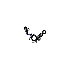 C/C(=C\C=C\[C@@H](C)COC(=O)N1CCCC1)[C@H]1OC(=O)C[C@H](O)CC[C@@](C)(O)[C@@H](OC(=O)N2CCN(C3CCCCCC3)CC2)/C=C/[C@@H]1C